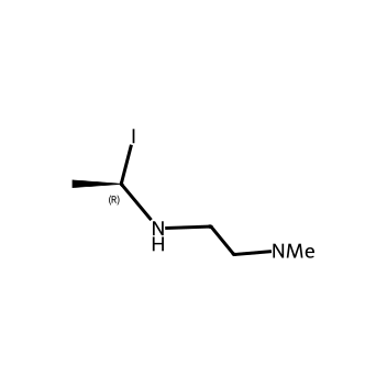 CNCCN[C@@H](C)I